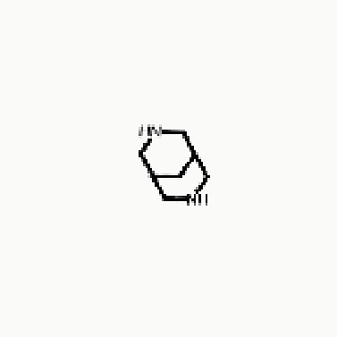 C1NCC2CNC[C]1C2